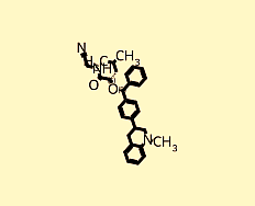 CC(C)C[C@H](O[C@H](c1ccccc1)c1ccc(C2Cc3ccccc3N(C)C2)cc1)C(=O)NCC#N